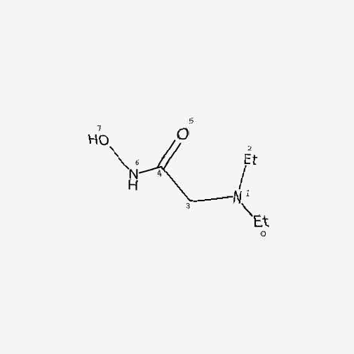 CCN(CC)CC(=O)NO